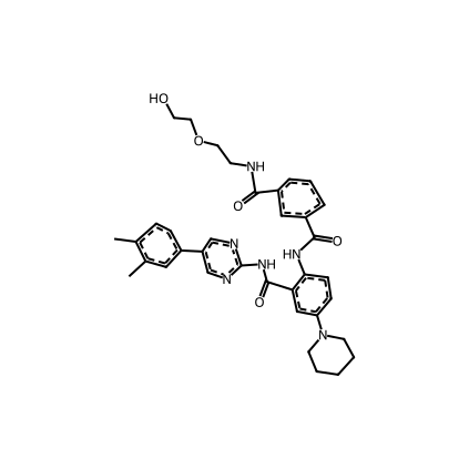 Cc1ccc(-c2cnc(NC(=O)c3cc(N4CCCCC4)ccc3NC(=O)c3cccc(C(=O)NCCOCCO)c3)nc2)cc1C